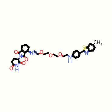 Cc1ccc2nc(-c3ccc(NCCOCCOCCOCCNc4cccc5c4C(=O)N(C4CCC(=O)NC4=O)C5=O)cc3)sc2c1